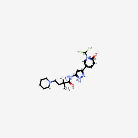 CC(C)(CCN1CCCCC1)C(=O)Nc1cc(-c2ccc(=O)n(C(F)F)c2)n[nH]1